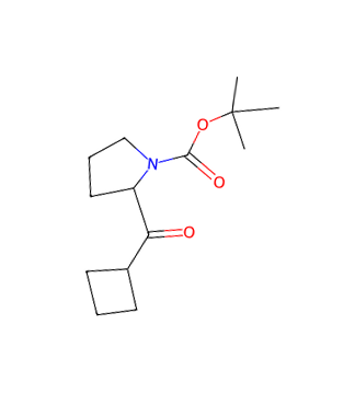 CC(C)(C)OC(=O)N1CCCC1C(=O)C1CCC1